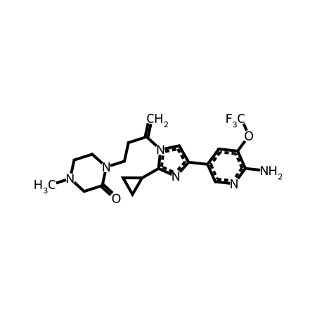 C=C(CCN1CCN(C)CC1=O)n1cc(-c2cnc(N)c(OC(F)(F)F)c2)nc1C1CC1